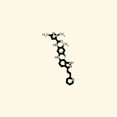 Cc1cc(C(=O)Nc2cc(Nc3ccc4c(/C=C/c5ccccn5)n[nH]c4c3)c(F)cc2C)n(C)n1